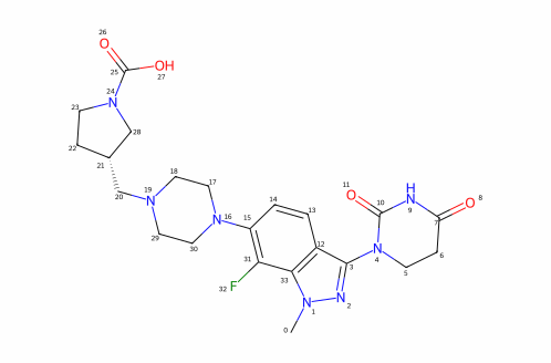 Cn1nc(N2CCC(=O)NC2=O)c2ccc(N3CCN(C[C@@H]4CCN(C(=O)O)C4)CC3)c(F)c21